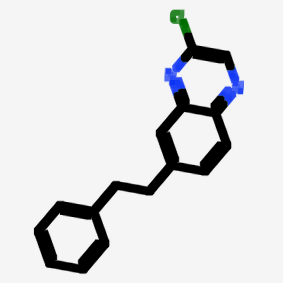 Clc1cnc2ccc(CCc3ccccc3)cc2n1